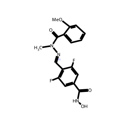 COc1ccccc1C(=O)N(C)/N=C/c1c(F)cc(C(=O)NO)cc1F